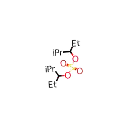 CCC(OS(=O)(=O)OC(CC)C(C)C)C(C)C